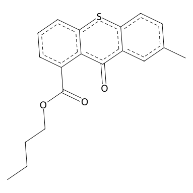 CCCCOC(=O)c1cccc2sc3ccc(C)cc3c(=O)c12